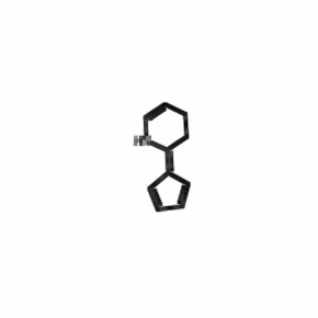 C1=CC(=C2CCC=CN2)C=C1